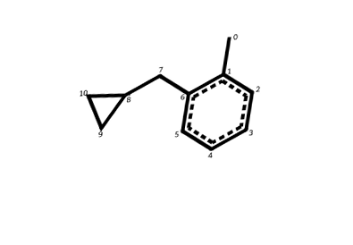 Cc1ccccc1C[C]1CC1